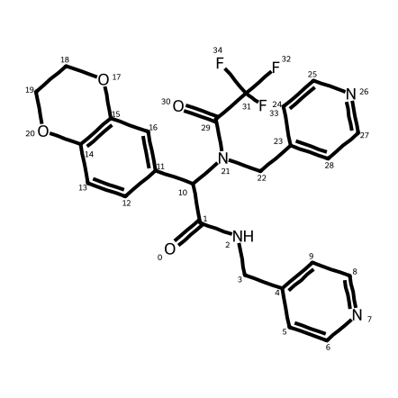 O=C(NCc1ccncc1)C(c1ccc2c(c1)OCCO2)N(Cc1ccncc1)C(=O)C(F)(F)F